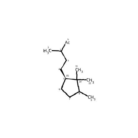 CC(=O)C(C)CC[C@@H]1CCC(C)C1(C)C